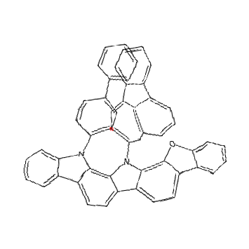 c1ccc(-c2ccc(-n3c4ccccc4c4ccc5c6ccc7c8ccccc8oc7c6n(-c6ccc7c8c(cccc68)-c6ccccc6-7)c5c43)cc2)cc1